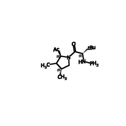 CC(=O)[C@@H]1C(C)[C@@H](C)CN1C(=O)[C@@H](NP)C(C)(C)C